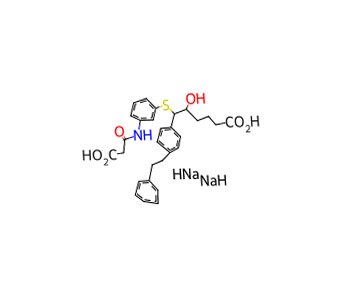 O=C(O)CCCC(O)C(Sc1cccc(NC(=O)CC(=O)O)c1)c1ccc(CCc2ccccc2)cc1.[NaH].[NaH]